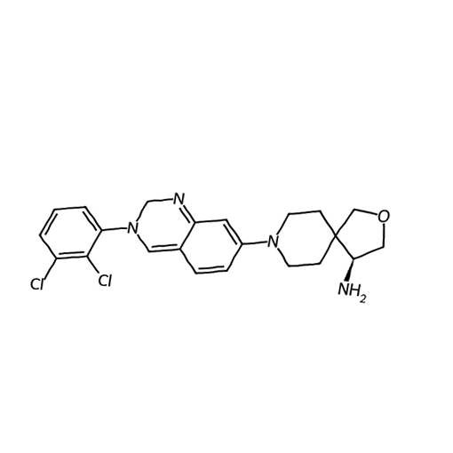 N[C@@H]1COCC12CCN(c1ccc3c(c1)=NCN(c1cccc(Cl)c1Cl)C=3)CC2